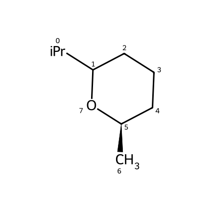 CC(C)C1CCC[C@@H](C)O1